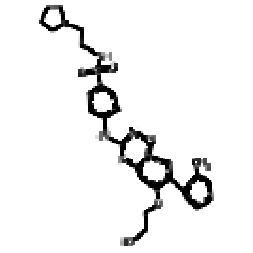 Cc1ccccc1-c1cc2nnc(Nc3ccc(S(=O)(=O)NCCN4CCCC4)cc3)nc2cc1OCCO